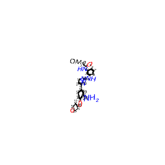 COCC(=O)Nc1cccc(Nc2nccc(-c3ccc(OC4CCOCC4)c(N)c3)n2)c1